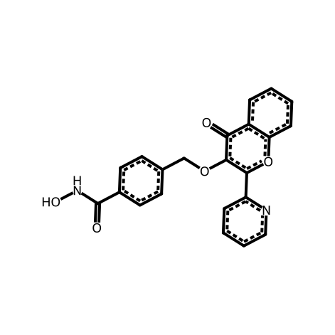 O=C(NO)c1ccc(COc2c(-c3ccccn3)oc3ccccc3c2=O)cc1